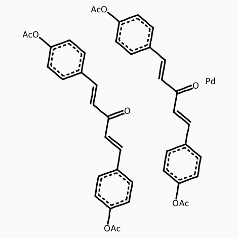 CC(=O)Oc1ccc(C=CC(=O)C=Cc2ccc(OC(C)=O)cc2)cc1.CC(=O)Oc1ccc(C=CC(=O)C=Cc2ccc(OC(C)=O)cc2)cc1.[Pd]